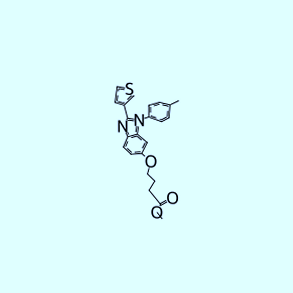 COC(=O)CCCOc1ccc2nc(-c3ccsc3)n(-c3ccc(C)cc3)c2c1